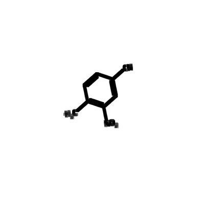 [CH2]c1ccc(C#N)cc1[N+](=O)[O-]